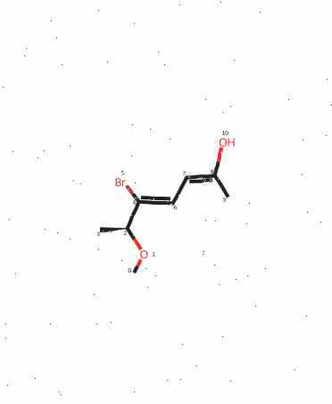 CO[C@@H](C)C(Br)=C/C=C(\C)O